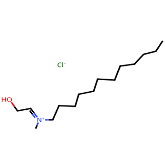 CCCCCCCCCCCC[N+](C)=CCO.[Cl-]